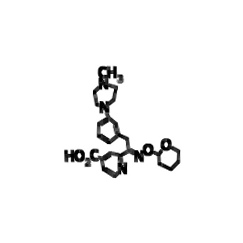 CN1CCN(c2cccc(C/C(=N\OC3CCCCO3)c3cc(C(=O)O)ccn3)c2)CC1